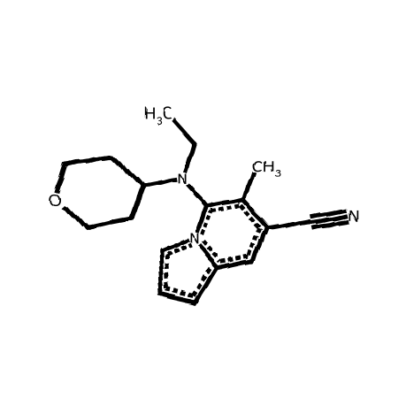 CCN(c1c(C)c(C#N)cc2cccn12)C1CCOCC1